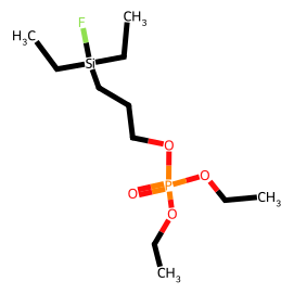 CCOP(=O)(OCC)OCCC[Si](F)(CC)CC